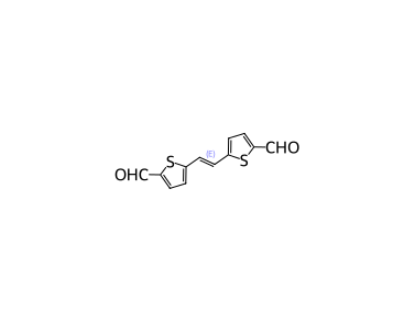 O=Cc1ccc(/C=C/c2ccc(C=O)s2)s1